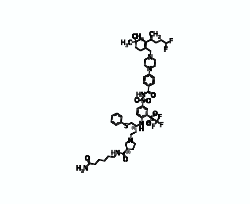 C=C(CCC(F)F)C1=C(CN2CCN(c3ccc(C(=O)NS(=O)(=O)c4ccc(N[C@H](CCN5CC[C@@H](C(=O)NCCCCCC(N)=O)C5)CSc5ccccc5)c(S(=O)(=O)C(F)(F)F)c4)cc3)CC2)CCC(C)(C)C1